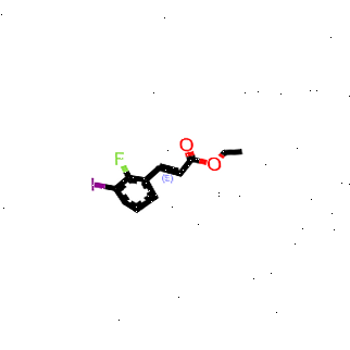 CCOC(=O)/C=C/c1cccc(I)c1F